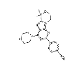 C#Cc1ccc(-c2nc(N3CCOCC3)c3nc4n(c3n2)CCOC4(C)C)cc1